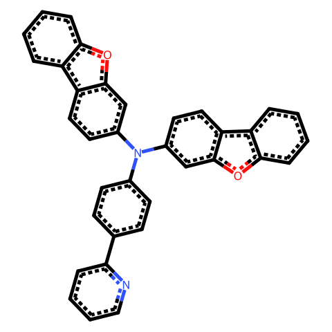 c1ccc(-c2ccc(N(c3ccc4c(c3)oc3ccccc34)c3ccc4c(c3)oc3ccccc34)cc2)nc1